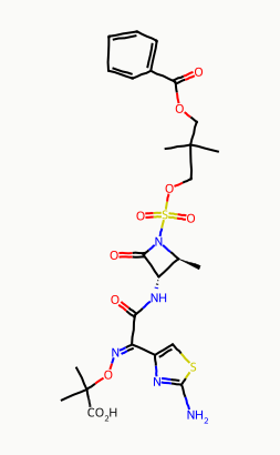 C[C@H]1[C@H](NC(=O)/C(=N/OC(C)(C)C(=O)O)c2csc(N)n2)C(=O)N1S(=O)(=O)OCC(C)(C)COC(=O)c1ccccc1